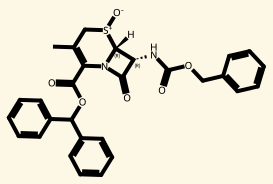 CC1=C(C(=O)OC(c2ccccc2)c2ccccc2)N2C(=O)[C@@H](NC(=O)OCc3ccccc3)[C@H]2[S+]([O-])C1